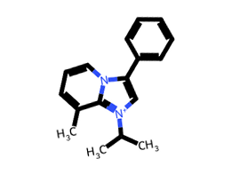 Cc1cccn2c(-c3ccccc3)c[n+](C(C)C)c12